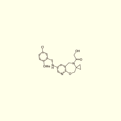 COc1ccc(Cl)cc1SNc1cnc2c(c1)CN(C(=O)CO)C1(CC1)CO2